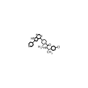 C[C@H](NC(=O)N1CCN(c2ncnc3[nH]c(-c4ccncc4)cc23)C[C@H]1C)c1ccc(Cl)cc1